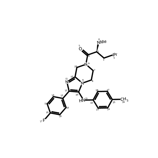 CN[C@@H](CC(C)C)C(=O)N1CCn2c(nc(-c3ccc(F)cc3)c2Nc2ccc(C)cc2)C1